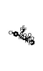 COc1cccnc1-n1nc(Cn2nc(-c3ccc(Cl)cc3)n(CCC(F)(F)F)c2=O)nc1C=O